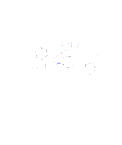 CC(C)N.O=C(O)c1ccccc1-c1nc2ccc(Oc3ccc(Cl)cc3Cl)cc2o1